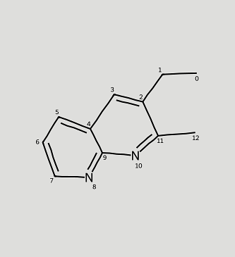 CCc1cc2cccnc2nc1C